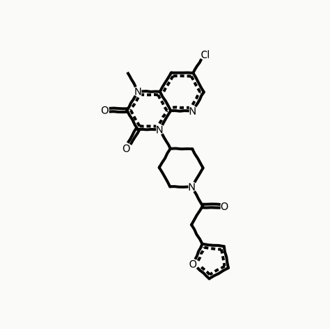 Cn1c(=O)c(=O)n(C2CCN(C(=O)Cc3ccco3)CC2)c2ncc(Cl)cc21